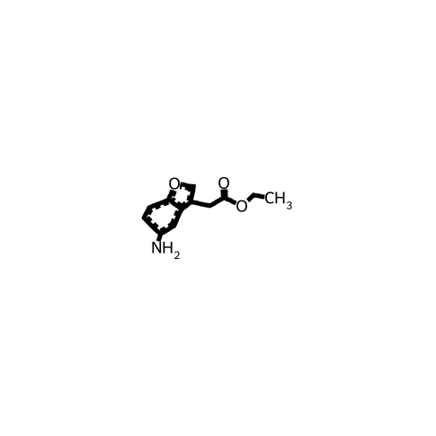 CCOC(=O)Cc1coc2ccc(N)cc12